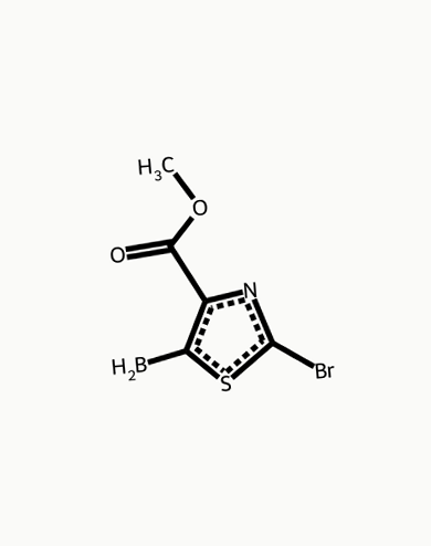 Bc1sc(Br)nc1C(=O)OC